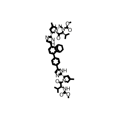 COC(=O)N[C@H](C(=O)N1CC(C)=C[C@H]1c1ncc(-c2ccc(-c3ccc(-c4cnc([C@@H]5C=C(C)CN5C(=O)[C@H](C(C)C)N(N)C(=O)OC)[nH]4)c4c3C3CCC4CC3)cc2)[nH]1)C(C)C